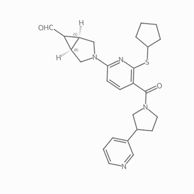 O=CC1[C@H]2CN(c3ccc(C(=O)N4CCC(c5cccnc5)C4)c(SC4CCCC4)n3)C[C@@H]12